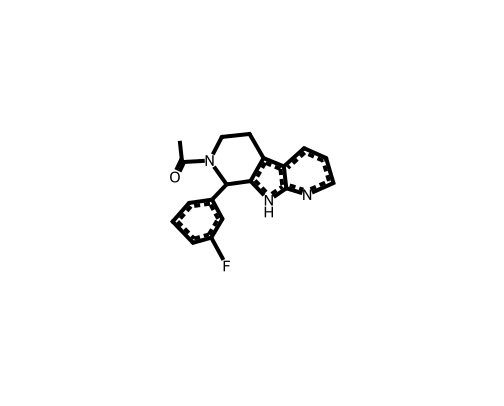 CC(=O)N1CCc2c([nH]c3ncccc23)C1c1cccc(F)c1